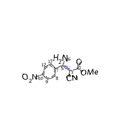 COC(=O)/C(C#N)=C(\N)c1ccc([N+](=O)[O-])cc1